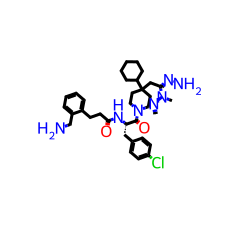 C=NN(C)/C(CC1(C2CCCCC2)CCN(C(=O)[C@H](Cc2ccc(Cl)cc2)NC(=O)CCc2ccccc2CN)CC1)=N\N